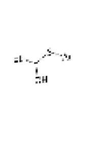 CCC(O)[S][Au]